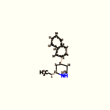 CC[C@@H]1C[C@H](c2ccc3ccccc3c2)CCN1